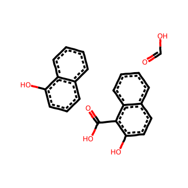 O=C(O)c1c(O)ccc2ccccc12.O=CO.Oc1cccc2ccccc12